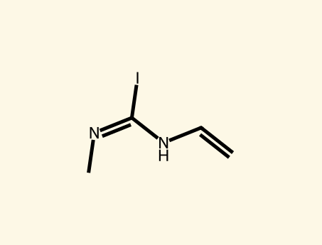 C=CN/C(I)=N\C